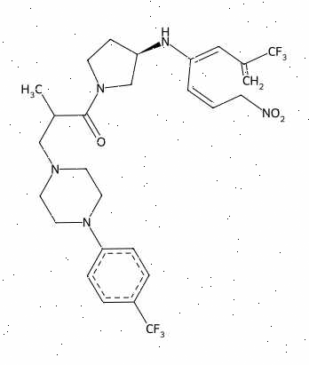 C=C(/C=C(\C=C/C[N+](=O)[O-])N[C@@H]1CCN(C(=O)C(C)CN2CCN(c3ccc(C(F)(F)F)cc3)CC2)C1)C(F)(F)F